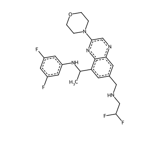 CC(Nc1cc(F)cc(F)c1)c1cc(CNCC(F)F)cc2ncc(N3CCOCC3)nc12